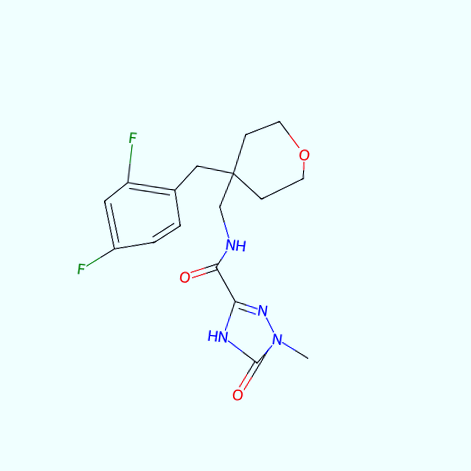 Cn1nc(C(=O)NCC2(Cc3ccc(F)cc3F)CCOCC2)[nH]c1=O